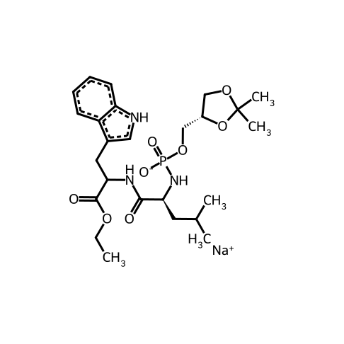 CCOC(=O)C(Cc1c[nH]c2ccccc12)NC(=O)[C@H](CC(C)C)NP(=O)([O-])OC[C@@H]1COC(C)(C)O1.[Na+]